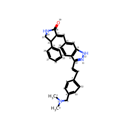 CN(C)Cc1ccc(/C=C/c2n[nH]c3cc(/C=C4/C(=O)NCC4c4ccccc4)ccc23)cc1